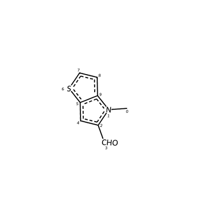 Cn1c(C=O)cc2sccc21